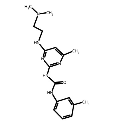 Cc1cccc(NC(=O)Nc2nc(C)cc(NCCN(C)C)n2)c1